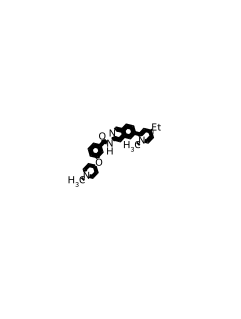 CC[C@H]1C=CN(C)C(c2ccc3cnc(NC(=O)c4cccc(OC5CCN(C)CC5)c4)cc3c2)=C1